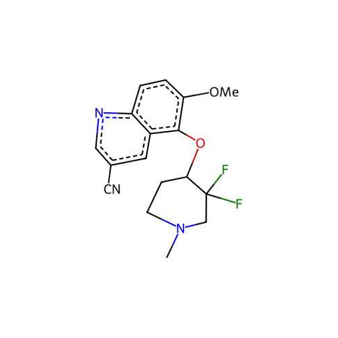 COc1ccc2ncc(C#N)cc2c1OC1CCN(C)CC1(F)F